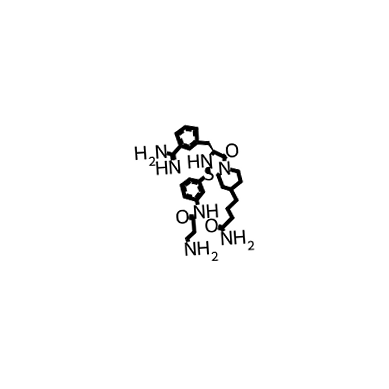 N=C(N)c1cccc(C[C@H](NSc2cccc(NC(=O)CCN)c2)C(=O)N2CCC(CCCC(N)=O)CC2)c1